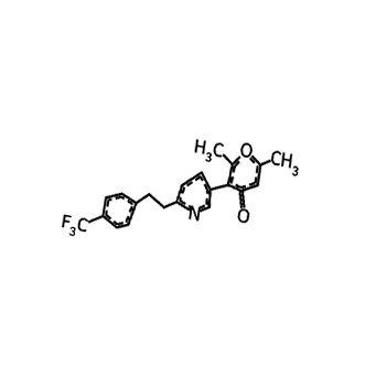 Cc1cc(=O)c(-c2ccc(CCc3ccc(C(F)(F)F)cc3)nc2)c(C)o1